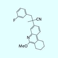 COc1nc2cc(C(C)(C#N)Cc3cccc(F)c3)ccc2c2c1CCCC2